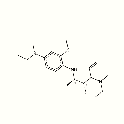 C=CC([C@H](C)[C@@H](C)Nc1ccc(N(C)CC)cc1SC)N(C)CC